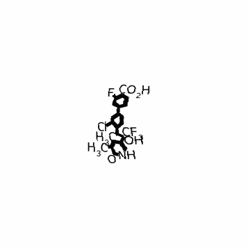 Cc1cc(C(O)(C(C)c2ccc(-c3ccc(C(=O)O)c(F)c3)cc2Cl)C(F)(F)F)c[nH]c1=O